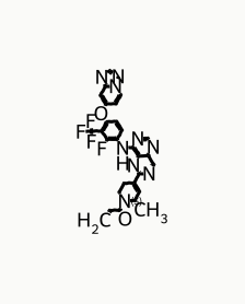 C=CC(=O)N1CCC(c2ncc3ncnc(Nc4ccc(Oc5ccn6ncnc6c5)c(C(F)(F)F)c4F)c3n2)=C[C@@H]1C